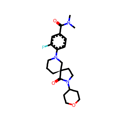 CN(C)C(=O)c1ccc(N2CCC[C@]3(CCN(C4CCOCC4)C3=O)C2)c(F)c1